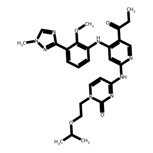 CCC(=O)c1cnc(Nc2ccn(CCOC(C)C)c(=O)n2)cc1Nc1cccc(-c2ncn(C)n2)c1OC